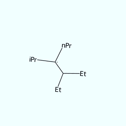 CCC[C](C(C)C)C(CC)CC